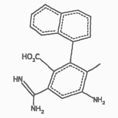 Cc1c(N)cc(C(=N)N)c(C(=O)O)c1-c1cccc2ccccc12